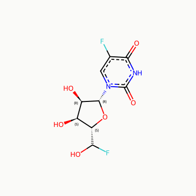 O=c1[nH]c(=O)n([C@@H]2O[C@H](C(O)F)[C@@H](O)[C@H]2O)cc1F